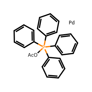 CC(=O)OP(c1ccccc1)(c1ccccc1)(c1ccccc1)c1ccccc1.[Pd]